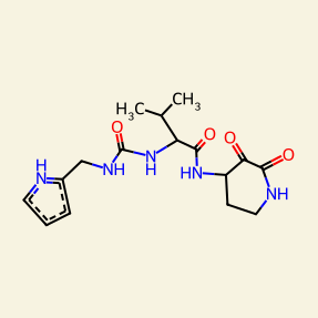 CC(C)C(NC(=O)NCc1ccc[nH]1)C(=O)NC1CCNC(=O)C1=O